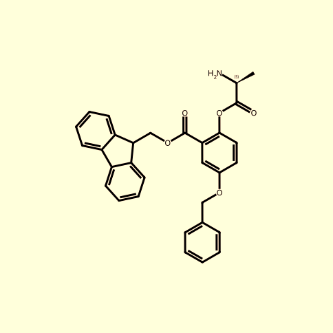 C[C@H](N)C(=O)Oc1ccc(OCc2ccccc2)cc1C(=O)OCC1c2ccccc2-c2ccccc21